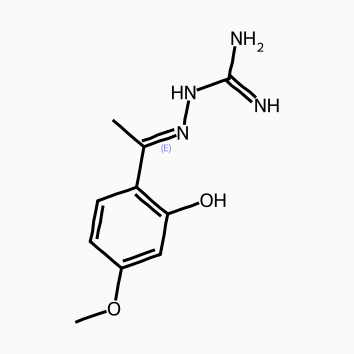 COc1ccc(/C(C)=N/NC(=N)N)c(O)c1